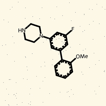 COc1ccccc1-c1cc(F)cc(N2CCNCC2)c1